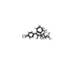 C/C(=C\c1ccc(Cl)cc1)C(O)(c1ccccc1C)C(C)CN(C)C